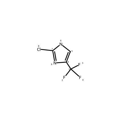 FC(F)(F)C1=[C][N]C(Cl)=N1